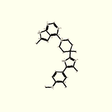 COc1ccc(-c2[nH]c(C3(C)CCN(c4ncnc5[nH]c(C)cc45)CC3)nc2C)cc1C